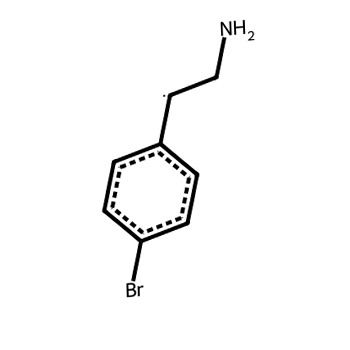 NC[CH]c1ccc(Br)cc1